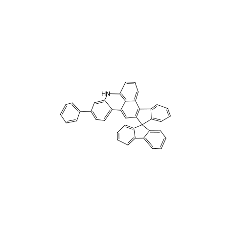 c1ccc(-c2ccc3c(c2)Nc2cccc4c5c(cc-3c24)C2(c3ccccc3-c3ccccc32)c2ccccc2-5)cc1